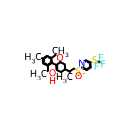 CCc1cc(C)cc(CC)c1C1=C(O)CC(C(C)C[S+]([O-])c2ccc(SC(F)(F)F)cn2)CC1=O